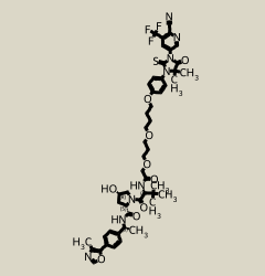 Cc1ncoc1-c1ccc([C@H](C)NC(=O)[C@@H]2C[C@@H](O)CN2C(=O)[C@@H](NC(=O)COCCCOCCCCOc2ccc(N3C(=S)N(c4cnc(C#N)c(C(F)(F)F)c4)C(=O)C3(C)C)cc2)C(C)(C)C)cc1